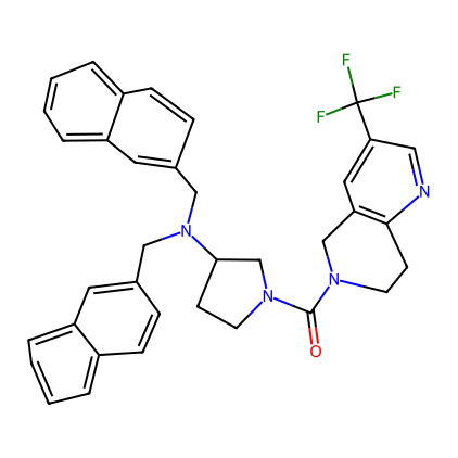 O=C(N1CCc2ncc(C(F)(F)F)cc2C1)N1CCC(N(Cc2ccc3ccccc3c2)Cc2ccc3ccccc3c2)C1